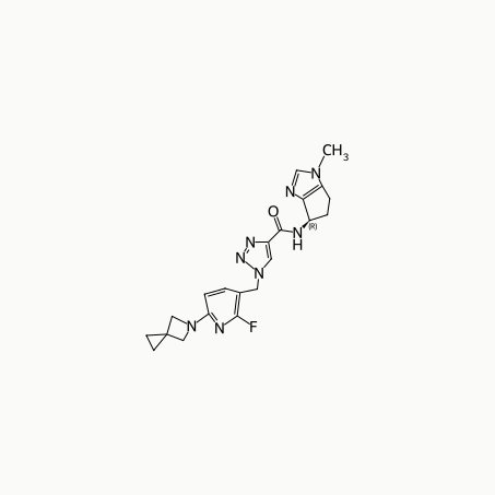 Cn1cnc2c1CC[C@H]2NC(=O)c1cn(Cc2ccc(N3CC4(CC4)C3)nc2F)nn1